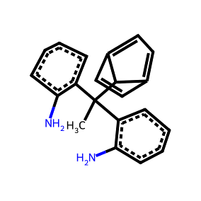 CC(c1ccccc1N)(c1ccccc1N)C1C2=CC=C1C=C2